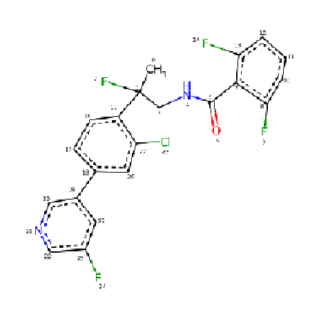 CC(F)(CNC(=O)c1c(F)cccc1F)c1ccc(-c2cncc(F)c2)cc1Cl